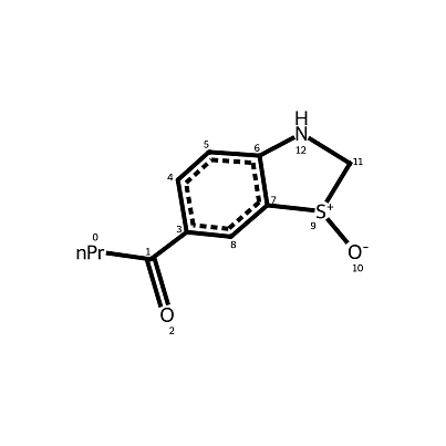 CCCC(=O)c1ccc2c(c1)[S+]([O-])CN2